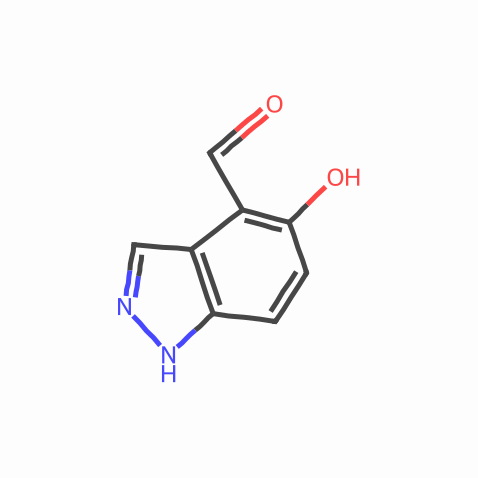 O=Cc1c(O)ccc2[nH]ncc12